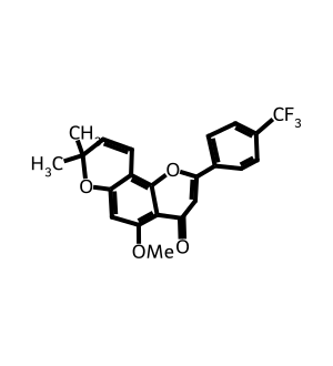 COc1cc2c(c3oc(-c4ccc(C(F)(F)F)cc4)cc(=O)c13)C=CC(C)(C)O2